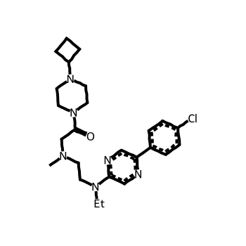 CCN(CCN(C)CC(=O)N1CCN(C2CCC2)CC1)c1cnc(-c2ccc(Cl)cc2)cn1